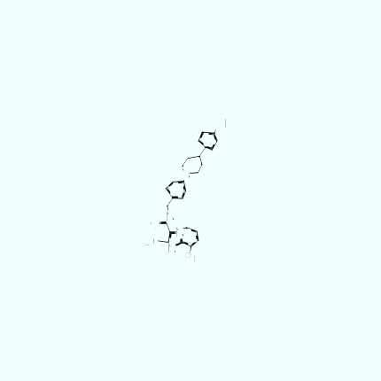 CCc1nc2c(Br)cccn2c1C(=O)NCc1ccc(N2CCC(c3ccc(C(F)(F)F)cc3)CC2)cc1